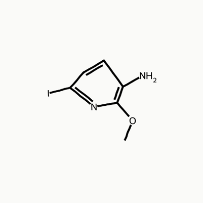 COc1nc(I)ccc1N